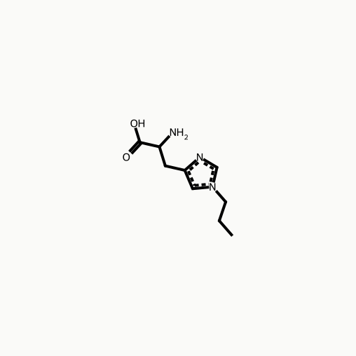 CCCn1cnc(CC(N)C(=O)O)c1